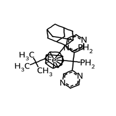 CC(C)(C)[C]12[CH]3[C]4(C(P)(c5cnccn5)c5cnccn5)[C]5(C6(CP)C7CC8CC(C7)CC6C8)[CH]1[Fe]32451678[CH]2[CH]1[CH]6[CH]7[CH]28